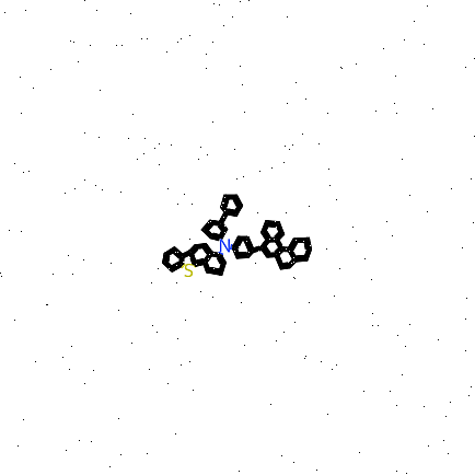 c1ccc(-c2cccc(N(c3ccc(-c4cc5ccc6ccccc6c5c5ccccc45)cc3)c3cccc4c3ccc3c5ccccc5sc43)c2)cc1